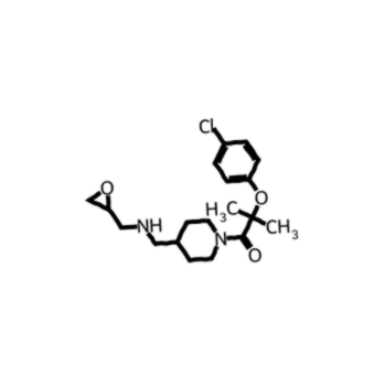 CC(C)(Oc1ccc(Cl)cc1)C(=O)N1CCC(CNCC2CO2)CC1